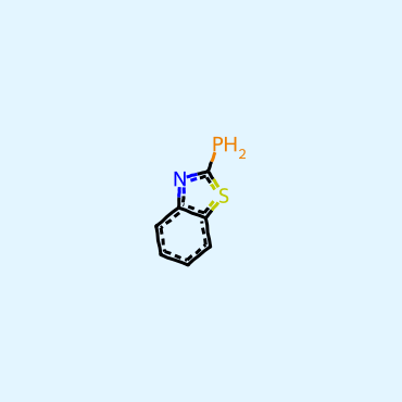 Pc1nc2ccccc2s1